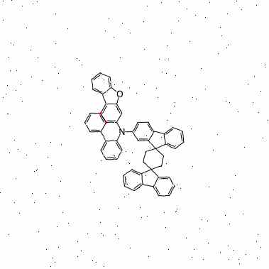 c1ccc(-c2ccccc2N(c2ccc3c(c2)C2(CCC4(CC2)c2ccccc2-c2ccccc24)c2ccccc2-3)c2ccc3c(c2)oc2ccccc23)cc1